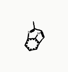 CC1=Nc2cccc(c2N)C=C1